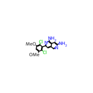 COc1cc(OC)c(Cl)c(-c2cc3cnc(N)cc3c(N)n2)c1Cl